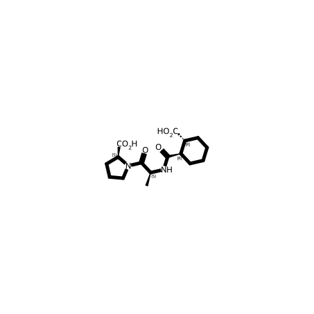 C[C@H](NC(=O)[C@@H]1CCCC[C@H]1C(=O)O)C(=O)N1CCC[C@H]1C(=O)O